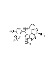 Cn1cc2c3c(c(C(N)=O)nnc31)-c1ccccc1NC2c1ccc(O)c(OC(F)(F)F)c1